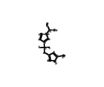 CC(C)c1cc(CC(C)(C)c2cnn(C(F)F)c2)no1